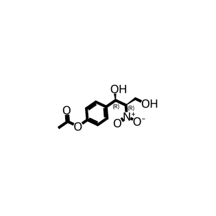 CC(=O)Oc1ccc([C@@H](O)[C@@H](CO)[N+](=O)[O-])cc1